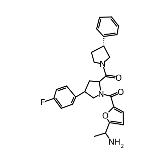 CC(N)c1ccc(C(=O)N2CC(c3ccc(F)cc3)CC2C(=O)N2CC[C@H](c3ccccc3)C2)o1